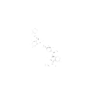 Cc1ccc(S(=O)(=O)N2CC3(CCN(c4ccc(C(=O)Nc5ccccc5N(C(=O)O)C(C)(C)C)cn4)CC3)c3ccccc32)cc1